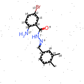 Cc1ccc(C=NNC(=O)c2cc(Br)ccc2N)cc1C